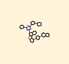 c1ccc(-c2cccc(-c3nc(-c4ccccc4)nc(-c4cc5sc6cccc(-c7ccc(-c8ccc9ccccc9c8)cc7)c6c5c5ccccc45)n3)c2)cc1